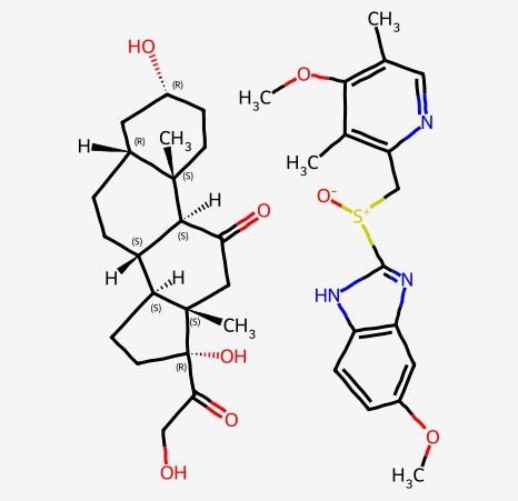 COc1ccc2[nH]c([S+]([O-])Cc3ncc(C)c(OC)c3C)nc2c1.C[C@]12CC[C@@H](O)C[C@H]1CC[C@@H]1[C@@H]2C(=O)C[C@@]2(C)[C@H]1CC[C@]2(O)C(=O)CO